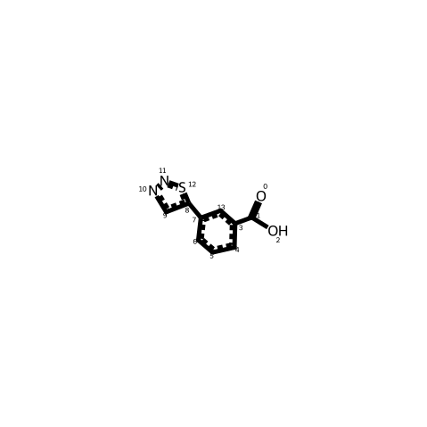 O=C(O)c1cccc(-c2cnns2)c1